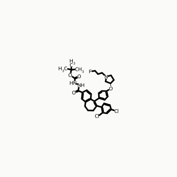 CC(C)(C)OC(=O)NNC(=O)c1ccc2c(c1)CCCC(c1ccc(Cl)cc1Cl)=C2c1ccc(O[C@H]2CCN(CCCF)C2)cc1